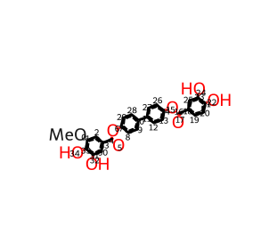 COc1cc(C(=O)Oc2ccc(-c3ccc(OC(=O)c4ccc(O)c(O)c4)cc3)cc2)cc(O)c1O